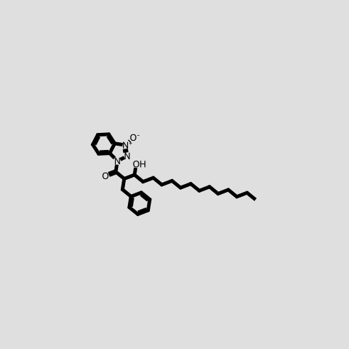 CCCCCCCCCCCCCC(O)C(Cc1ccccc1)C(=O)n1n[n+]([O-])c2ccccc21